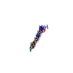 C[C@]1(c2ccc(F)cc2F)C[C@H](COc2ccc(N3CCN(c4ccc(-n5cn[nH]c5=O)cc4)CC3)cc2)CO1